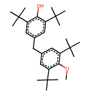 COc1c(C(C)(C)C)cc(Cc2cc(C(C)(C)C)c(O)c(C(C)(C)C)c2)cc1C(C)(C)C